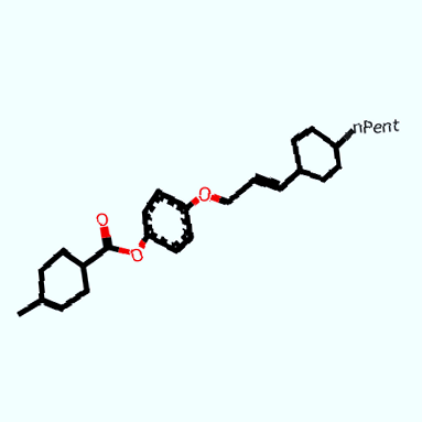 CCCCCC1CCC(/C=C/COc2ccc(OC(=O)C3CCC(C)CC3)cc2)CC1